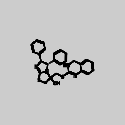 OC1(CSC2=Nc3ccccc3CN2)CSC2=N[C@@H](c3ccccc3)[C@H](c3ccccc3)N21